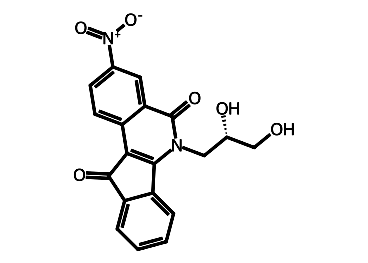 O=C1c2ccccc2-c2c1c1ccc([N+](=O)[O-])cc1c(=O)n2C[C@H](O)CO